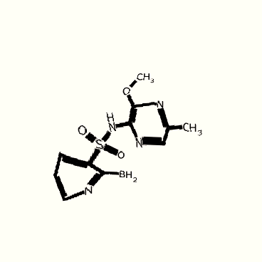 Bc1ncccc1S(=O)(=O)Nc1ncc(C)nc1OC